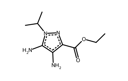 CCOC(=O)c1nn(C(C)C)c(N)c1N